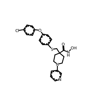 O=C(NO)C1(CSc2ccc(Oc3ccc(Cl)cc3)cc2)CCN(c2cccnc2)CC1